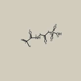 C=C(C)C(=O)NCC(=O)CS(=O)(=O)O